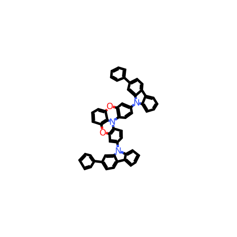 c1ccc(-c2ccc3c4ccccc4n(-c4ccc5c(c4)Oc4cccc6c4N5c4ccc(-n5c7ccccc7c7ccc(-c8ccccc8)cc75)cc4O6)c3c2)cc1